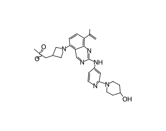 C=C(C)c1ccc(N2CC(CS(C)(=O)=O)C2)c2cnc(Nc3ccnc(N4CCC(O)CC4)c3)nc12